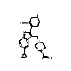 CC(=O)N1CCN(Cc2c(-c3ccc(Cl)cc3Cl)nc3cnc(C4CC4)cn23)CC1